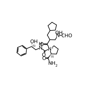 NC(=O)[C@@H]1CCC[N+]1(C(=O)NC[C@@H](O)c1ccccc1)C(=O)C(CC1CCCC1)CN(O)C=O